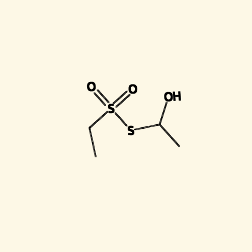 CCS(=O)(=O)SC(C)O